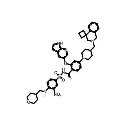 O=C(NS(=O)(=O)c1ccc(NCC2CCOCC2)c([N+](=O)[O-])c1)c1ccc(N2CCC(CN3Cc4ccccc4C4(CCC4)C3)CC2)cc1Oc1cnc2[nH]ccc2c1